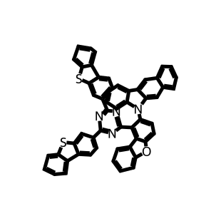 c1ccc2cc3c(cc2c1)c1ccccc1n3-c1ccc2oc3ccccc3c2c1-c1nc(-c2ccc3c(c2)sc2ccccc23)nc(-c2ccc3c(c2)sc2ccccc23)n1